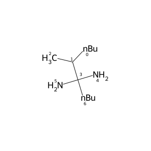 CCCCC(C)C(N)(N)CCCC